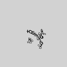 COC(=O)CC1CCN(CC[C@@H](NC(=O)c2nc3cc4c(nc3s2)CC[C@H](C(C)(C)C)C4)c2cccc(C(=O)NC3CN(C)C3)c2)CC1.O=C(O)C(F)(F)F